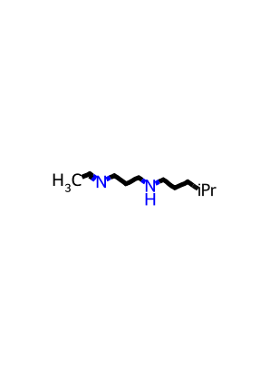 C/C=N/CCCNCCCC(C)C